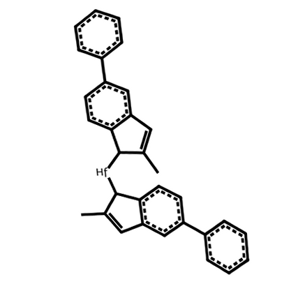 CC1=Cc2cc(-c3ccccc3)ccc2[CH]1[Hf][CH]1C(C)=Cc2cc(-c3ccccc3)ccc21